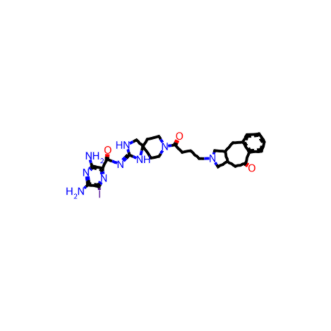 Nc1nc(N)c(C(=O)/N=C2\NCC3(CCN(C(=O)CCCN4CC5CC(=O)c6ccccc6CC5C4)CC3)N2)nc1I